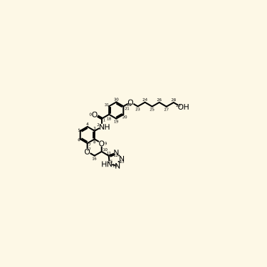 O=C(Nc1cccc2c1OC(c1nnn[nH]1)CO2)c1ccc(OCCCCCCO)cc1